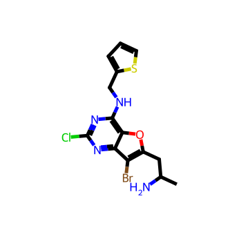 CC(N)Cc1oc2c(NCc3cccs3)nc(Cl)nc2c1Br